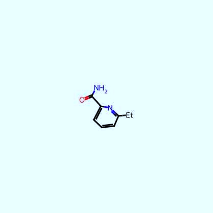 CCc1cccc(C(N)=O)n1